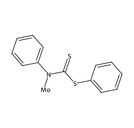 S=C(Sc1ccccc1)[N]([Mo])c1ccccc1